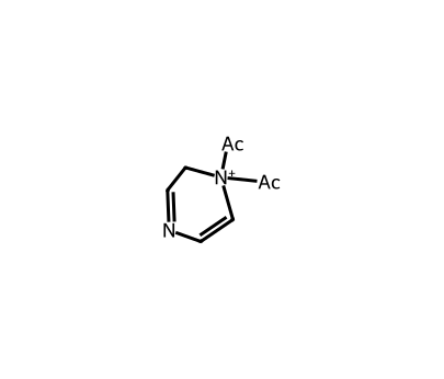 CC(=O)[N+]1(C(C)=O)C=CN=CC1